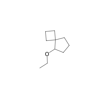 CCOC1CCCC12CCC2